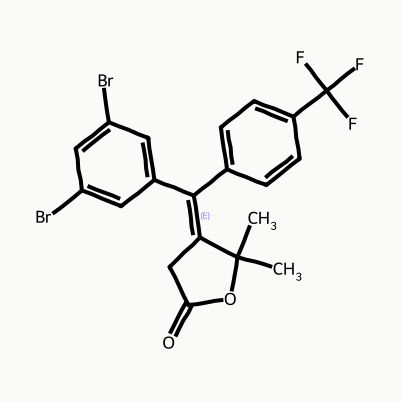 CC1(C)OC(=O)C/C1=C(/c1ccc(C(F)(F)F)cc1)c1cc(Br)cc(Br)c1